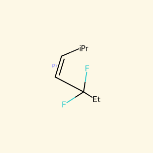 CCC(F)(F)/C=C\C(C)C